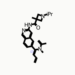 C=C/C=C(/c1ccc2cnc(NC(=O)C3(C)CN(C(C)C)C3)cc2c1)N(C)C(=C)C